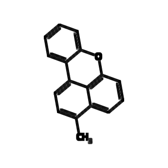 Cc1ccc2c3c(cccc13)Oc1ccccc1-2